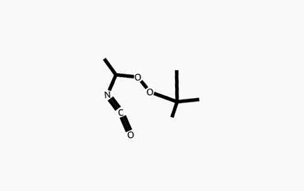 CC(N=C=O)OOC(C)(C)C